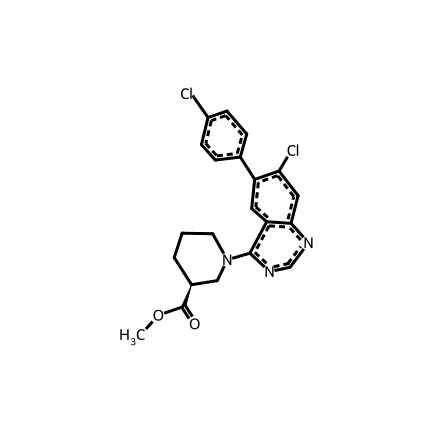 COC(=O)[C@H]1CCCN(c2ncnc3cc(Cl)c(-c4ccc(Cl)cc4)cc23)C1